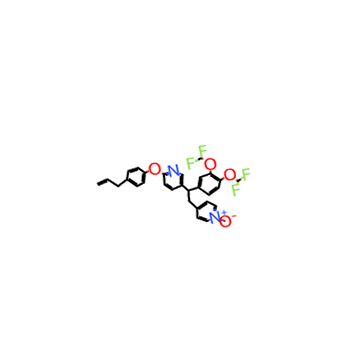 C=CCc1ccc(Oc2ccc(C(Cc3cc[n+]([O-])cc3)c3ccc(OC(F)F)c(OC(F)F)c3)cn2)cc1